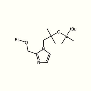 CCOCc1nccn1CC(C)(C)O[Si](C)(C)C(C)(C)C